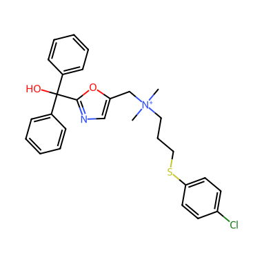 C[N+](C)(CCCSc1ccc(Cl)cc1)Cc1cnc(C(O)(c2ccccc2)c2ccccc2)o1